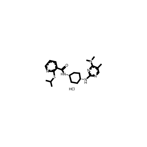 Cc1cnc(N[C@H]2CC[C@@H](NC(=O)c3cccnc3SC(C)C)CC2)nc1N(C)C.Cl